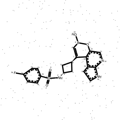 O=S(=O)(N[C@H]1C[C@H](C2=CB(O)Oc3cnc4[nH]ccc4c32)C1)c1ccc(F)cc1